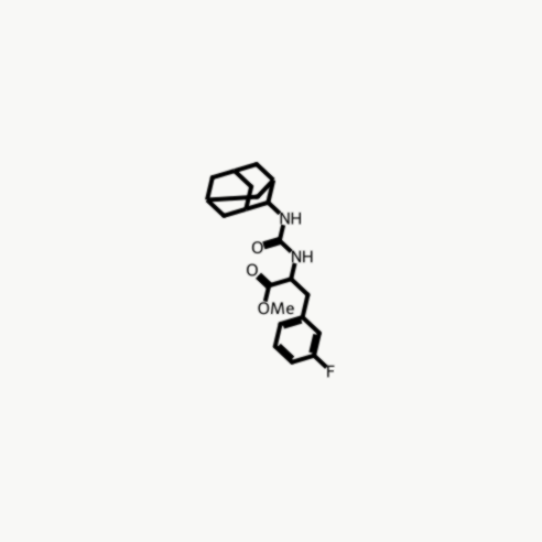 COC(=O)C(Cc1cccc(F)c1)NC(=O)NC1C2CC3CC(C2)CC1C3